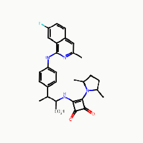 Cc1cc2ccc(F)cc2c(Nc2ccc(C(C)C(Nc3c(N4C(C)CCC4C)c(=O)c3=O)C(=O)O)cc2)n1